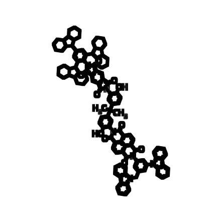 CC(C)(c1ccc(O)c(N2C(=O)c3ccc4c5c(ccc(c35)C2=O)C(=O)N(c2cc(Cn3c5ccccc5c5ccccc53)cc(-n3c5ccccc5c5ccccc53)c2)C4=O)c1)c1ccc(O)c(-n2c(=O)c3cc4c(=O)n(-c5c(C6C7CCCCC7C7CCCCC76)cc(C6C7CCCCC7C7CCCCC76)cc5C5C6CCCCC6C6CCCCC65)c(=O)c4cc3c2=O)c1